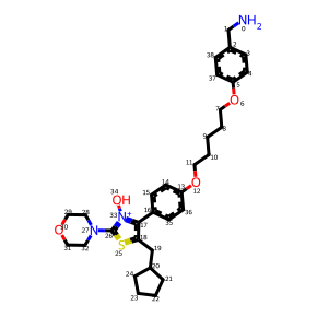 NCc1ccc(OCCCCCOc2ccc(-c3c(CC4CCCC4)sc(N4CCOCC4)[n+]3O)cc2)cc1